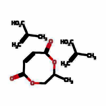 C=C(C)C(=O)O.C=C(C)C(=O)O.CC1COC(=O)C=CC(=O)O1